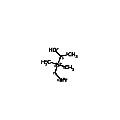 CCCC[N+](C)(C)C(C)O